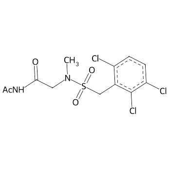 CC(=O)NC(=O)CN(C)S(=O)(=O)Cc1c(Cl)ccc(Cl)c1Cl